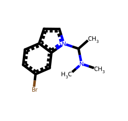 CC(N(C)C)n1ccc2ccc(Br)cc21